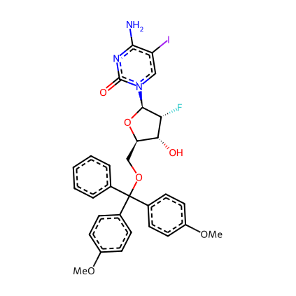 COc1ccc(C(OC[C@H]2O[C@@H](n3cc(I)c(N)nc3=O)[C@H](F)[C@@H]2O)(c2ccccc2)c2ccc(OC)cc2)cc1